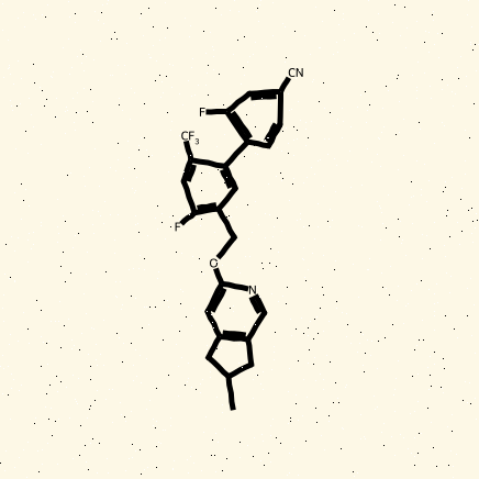 CC1Cc2cnc(OCc3cc(-c4ccc(C#N)cc4F)c(C(F)(F)F)cc3F)cc2C1